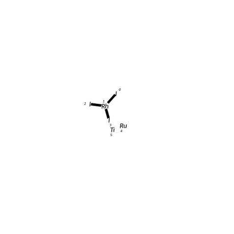 [I][Rh]([I])[I].[Ru].[Ti]